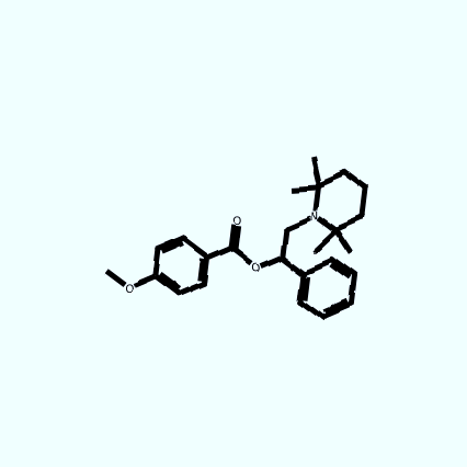 COc1ccc(C(=O)OC(CN2C(C)(C)CCCC2(C)C)c2ccccc2)cc1